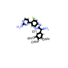 CCn1c(C(N)c2cc(OC)c(OC)c(OC)c2)nc2cc(F)c(-c3ccnc(N)n3)cc21